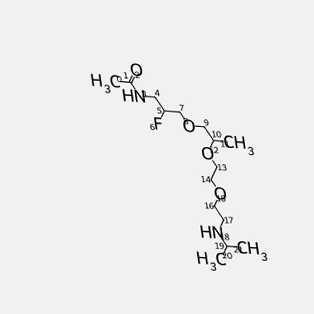 CC(=O)NCC(F)COCC(C)OCCOCCNC(C)C